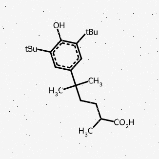 CC(CCC(C)(C)c1cc(C(C)(C)C)c(O)c(C(C)(C)C)c1)C(=O)O